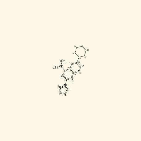 CCN(CC)c1nc(-n2cccn2)nc2ccc(C3CCCCC3)cc12